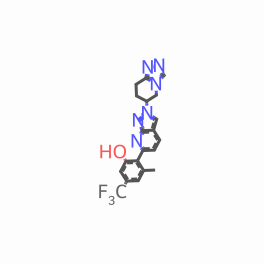 Cc1cc(C(F)(F)F)cc(O)c1-c1ccc2cn(C3CCc4nncn4C3)nc2n1